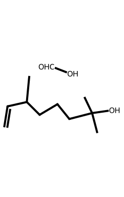 C=CC(C)CCCC(C)(C)O.O=CO